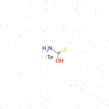 NC(O)=S.[Te]